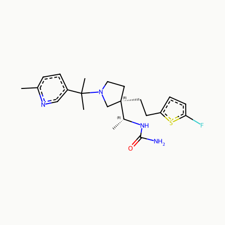 Cc1ccc(C(C)(C)N2CC[C@@](CCc3ccc(F)s3)([C@@H](C)NC(N)=O)C2)cn1